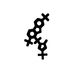 CC1C=C(C(C)(C)C)C=C1C(C)(C)c1c(C(C)(C)C)ccc2c1Cc1cc(C(C)(C)C)ccc1-2